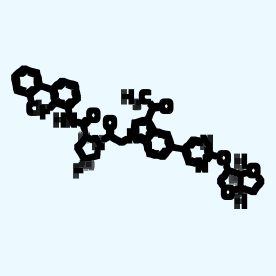 CC(=O)c1cn(CC(=O)N2C[C@H](F)C[C@H]2C(=O)Nc2cccc(-c3ccccc3Cl)c2F)c2ccc(-c3cnc(OC4CO[C@@H]5CCO[C@H]45)nc3)cc12